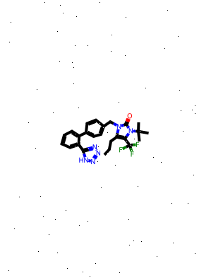 CCCc1c(C(F)(F)F)n(C(C)(C)C)c(=O)n1Cc1ccc(-c2ccccc2-c2nnn[nH]2)cc1